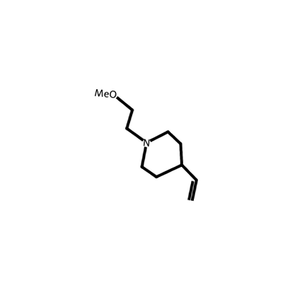 C=CC1CCN(CCOC)CC1